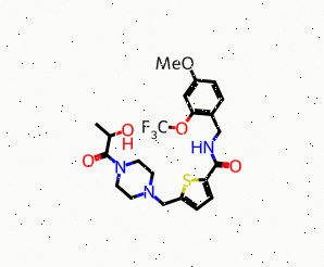 COc1ccc(CNC(=O)c2ccc(CN3CCN(C(=O)C(C)O)CC3)s2)c(OC(F)(F)F)c1